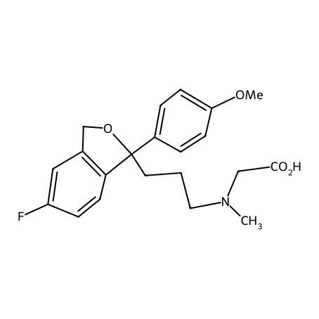 COc1ccc(C2(CCCN(C)CC(=O)O)OCc3cc(F)ccc32)cc1